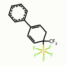 FC(F)(F)C1(S(F)(F)(F)(F)F)C=CC(c2ccccc2)=CC1